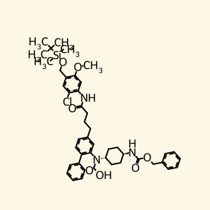 COc1cc(NC(=O)CCCc2ccc(-c3ccccc3)c(N(C(=O)O)[C@H]3CC[C@H](NC(=O)OCc4ccccc4)CC3)c2)c(Cl)cc1CO[Si](C)(C)C(C)(C)C